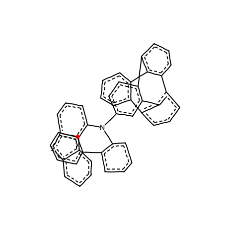 c1ccc(-c2ccccc2N(c2ccc3c(c2)-c2c4cccc2-c2cccc-3c2-c2ccccc2-4)c2cccc3sc4ccccc4c23)cc1